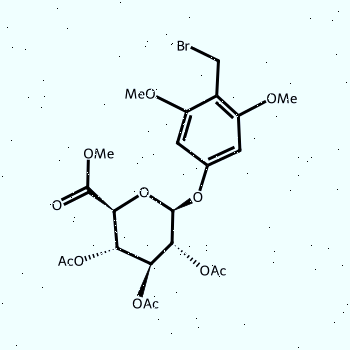 COC(=O)[C@H]1O[C@@H](Oc2cc(OC)c(CBr)c(OC)c2)[C@H](OC(C)=O)[C@@H](OC(C)=O)[C@@H]1OC(C)=O